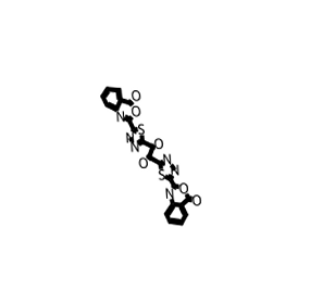 O=C(C(=O)c1nnc(-c2nc3ccccc3c(=O)o2)s1)c1nnc(-c2nc3ccccc3c(=O)o2)s1